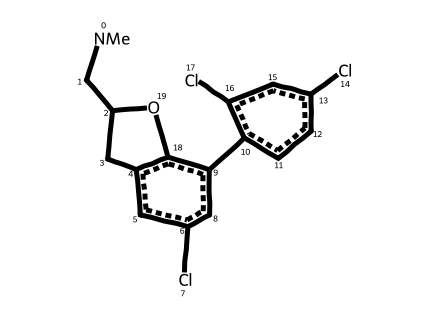 CNCC1Cc2cc(Cl)cc(-c3ccc(Cl)cc3Cl)c2O1